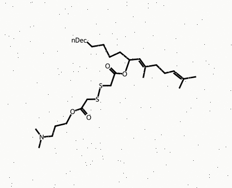 CCCCCCCCCCCCCCC(/C=C(\C)CCC=C(C)C)OC(=O)CSSCC(=O)OCCCN(C)C